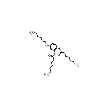 CCCCCCOc1ccc(OC(=O)CCCCCC)c(OC(=O)CCCCCC)c1